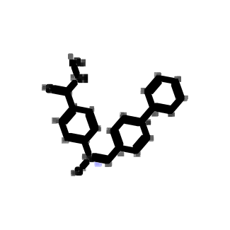 CCCCNC(=O)c1ccc(/[N+]([O-])=C\c2ccc(-c3ccccc3)cc2)cc1